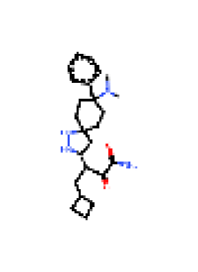 CN(C)C1(c2ccccc2)CCC2(CC1)C[C@@H](C(CC1CCC1)C(=O)C(N)=O)NN2